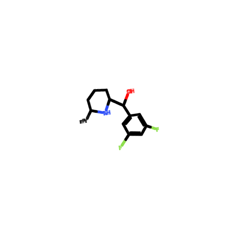 CCCC1CCCC(C(O)c2cc(F)cc(F)c2)N1